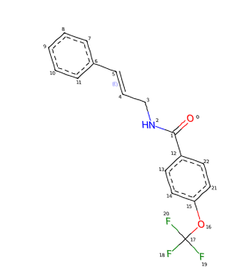 O=C(NC/C=C/c1ccccc1)c1ccc(OC(F)(F)F)cc1